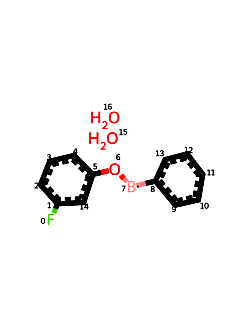 Fc1cccc(O[B]c2ccccc2)c1.O.O